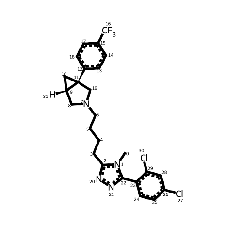 Cn1c(CCCCN2C[C@@H]3C[C@]3(c3ccc(C(F)(F)F)cc3)C2)nnc1-c1ccc(Cl)cc1Cl